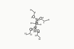 CCO[SiH](OCC)C(C)(C)[SiH](OCC)OCC